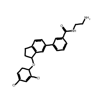 NCCNC(=O)c1cccc(-c2ccc3c(c2)C(OC2CC=C(Cl)C=C2Cl)CC3)c1